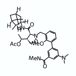 CNC(=O)c1cc(-c2cccc(CN3OC[C@@H]([C@H](C)OC(C)=O)[C@H]3C(=O)N[C@H]3C[C@H]4C[C@@H]([C@@H]3C)C4(C)C)c2OC)cc(N(C)C)c1